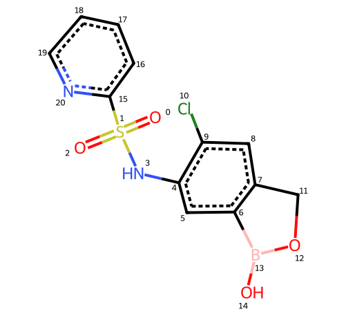 O=S(=O)(Nc1cc2c(cc1Cl)COB2O)c1ccccn1